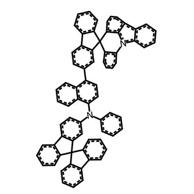 c1ccc(N(c2ccc3c(c2)C2(c4ccccc4-c4ccccc42)c2ccccc2-3)c2ccc(-c3ccc4c(c3)C3(c5ccccc5-4)c4ccccc4-n4c5ccccc5c5cccc3c54)c3ccccc23)cc1